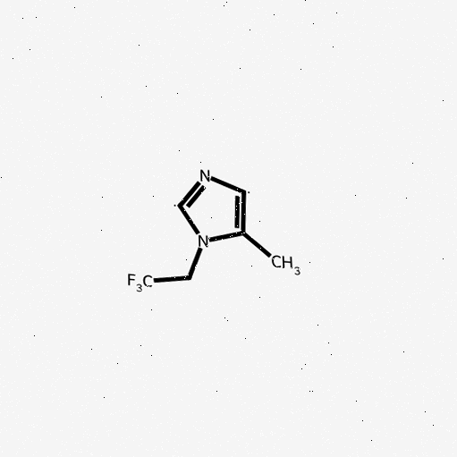 Cc1[c]n[c]n1CC(F)(F)F